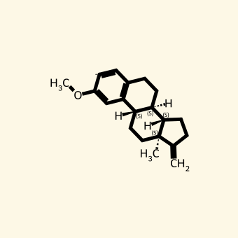 C=C1CC[C@H]2[C@@H]3CCc4c[c]c(OC)cc4[C@H]3CC[C@]12C